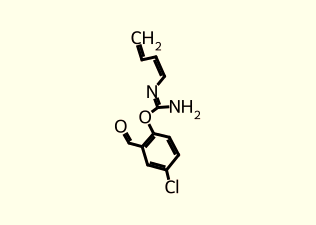 C=C/C=C\N=C(/N)Oc1ccc(Cl)cc1C=O